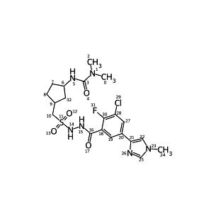 CN(C)C(=O)NC1CCC(CS(=O)(=O)NNC(=O)c2cc(-c3cn(C)cn3)cc(Cl)c2F)C1